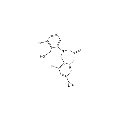 O=C1CN(c2cccc(Br)c2CO)Cc2c(F)cc(C3CC3)cc2O1